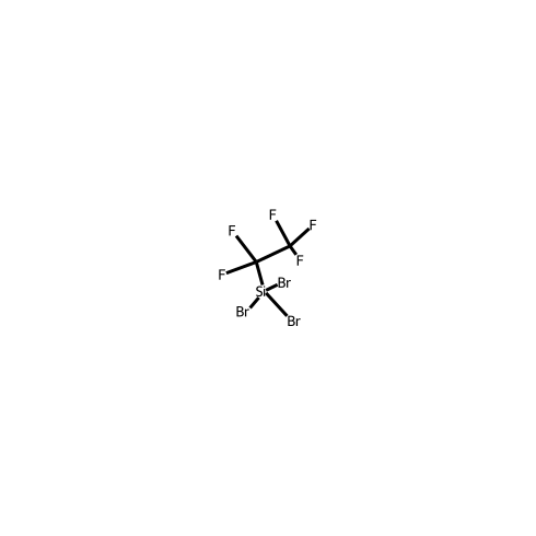 FC(F)(F)C(F)(F)[Si](Br)(Br)Br